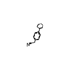 N#CCc1ccc(C2=CCCCC2)cc1